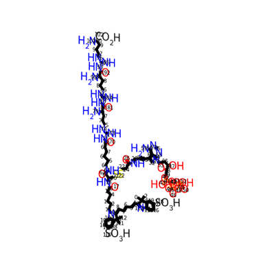 CC1(C)C(/C=C/C=C/C=C2/N(CCCCCC(=O)NC(CSSCCC(=O)NCC#Cc3cn(C4CC(O)C(COP(=O)(O)OP(=O)(O)OP(=O)(O)O)O4)c4ncnc(N)c34)C(=O)NCCCCCC(=O)NC(=N)NCCCC(N)C(=O)NC(=N)NCCCC(N)C(=O)NC(=N)NCCCC(N)C(=O)O)c3ccc(S(=O)(=O)O)cc3C2(C)C)=Nc2ccc(S(=O)(=O)O)cc21